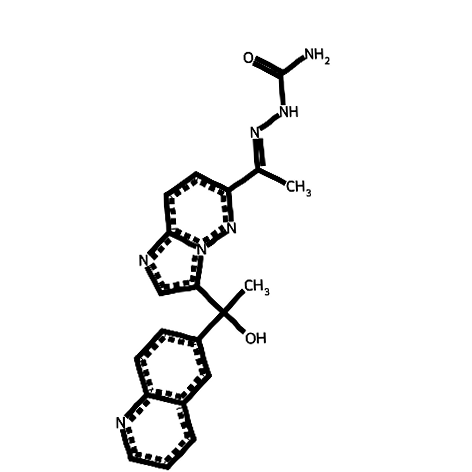 CC(=NNC(N)=O)c1ccc2ncc(C(C)(O)c3ccc4ncccc4c3)n2n1